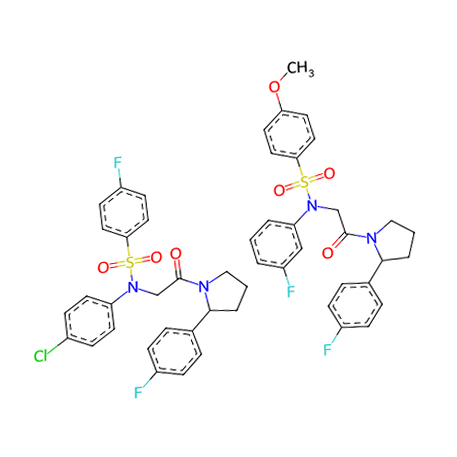 COc1ccc(S(=O)(=O)N(CC(=O)N2CCCC2c2ccc(F)cc2)c2cccc(F)c2)cc1.O=C(CN(c1ccc(Cl)cc1)S(=O)(=O)c1ccc(F)cc1)N1CCCC1c1ccc(F)cc1